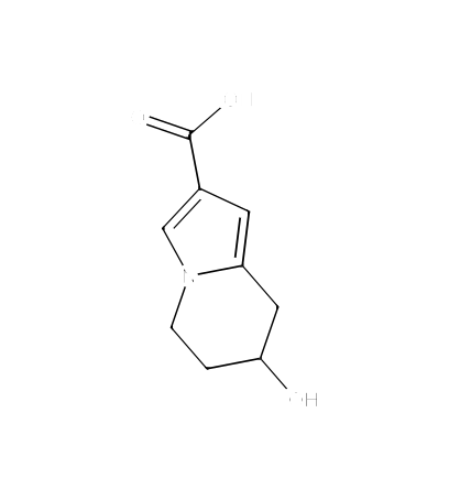 O=C(O)c1cc2n(c1)CCC(O)C2